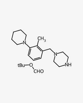 CC(C)(C)OC=O.Cc1c(CN2CCNCC2)cccc1N1CCCCC1